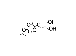 CC(C)OC(=O)OC(C)C(=O)OCC(CO)CO